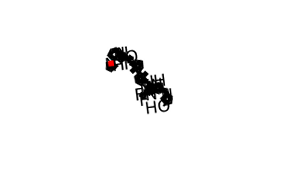 Cc1c(NC(=O)c2cc3n(n2)CCC[C@H]3N2CCCC2)cccc1-c1cccc(Nc2nc(C(F)F)nc3cc(CN4CC[C@@H](O)C4)cnc23)c1C